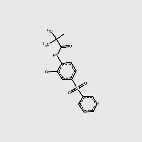 CC(O)(C(=O)Nc1ccc(S(=O)(=O)c2cccnc2)cc1Cl)C(F)(F)F